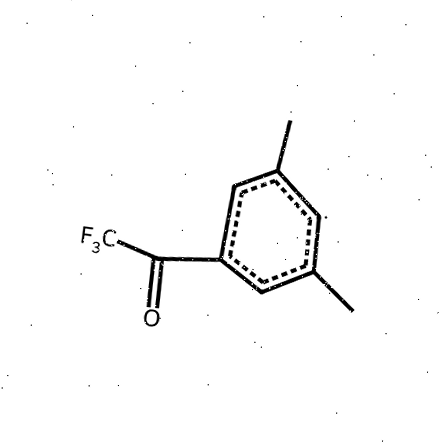 Cc1[c]c(C)cc(C(=O)C(F)(F)F)c1